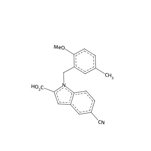 COc1ccc(C)cc1Cn1c(C(=O)O)cc2cc(C#N)ccc21